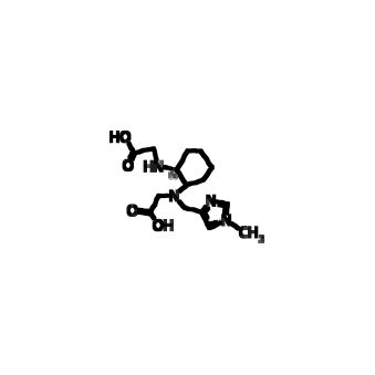 Cn1cnc(CN(CC(=O)O)C2CCCC[C@@H]2NCC(=O)O)c1